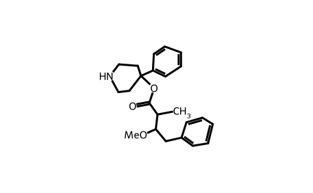 COC(Cc1ccccc1)C(C)C(=O)OC1(c2ccccc2)CCNCC1